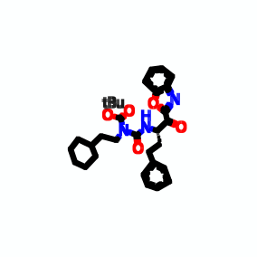 CC(C)(C)OC(=O)N(CCC1CCCCC1)C(=O)N[C@@H](CCc1ccccc1)C(=O)c1nc2ccccc2o1